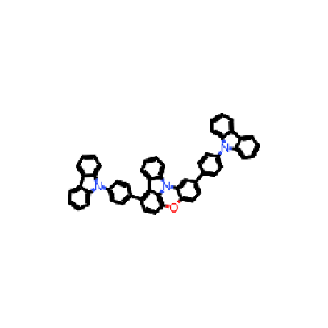 c1ccc2c(c1)c1ccccc1n2-c1ccc(-c2ccc3c(c2)-n2c4ccccc4c4c(-c5ccc(-n6c7ccccc7c7ccccc76)cc5)ccc(c42)O3)cc1